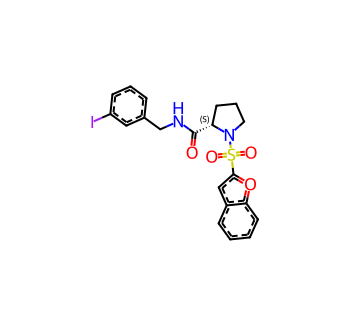 O=C(NCc1cccc(I)c1)[C@@H]1CCCN1S(=O)(=O)c1cc2ccccc2o1